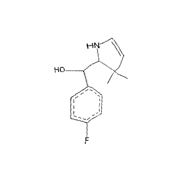 CC1(C)C=CNC1C(O)c1ccc(F)cc1